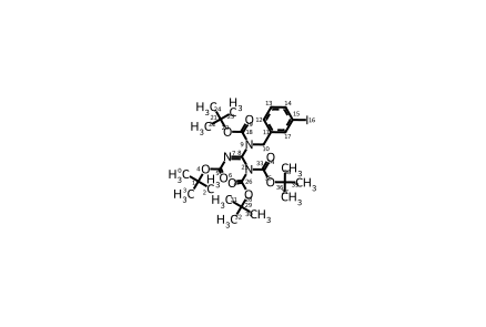 CC(C)(C)OC(=O)N=C(N(Cc1cccc(I)c1)C(=O)OC(C)(C)C)N(C(=O)OC(C)(C)C)C(=O)OC(C)(C)C